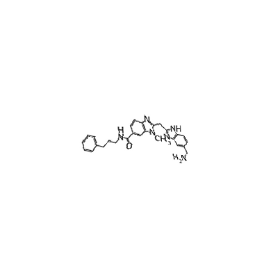 Cn1c(Cc2nc3cc(CN)ccc3[nH]2)nc2ccc(C(=O)NCCCc3ccccc3)cc21